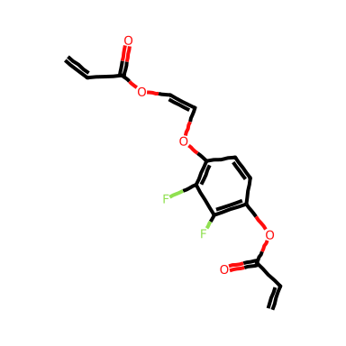 C=CC(=O)O/C=C\Oc1ccc(OC(=O)C=C)c(F)c1F